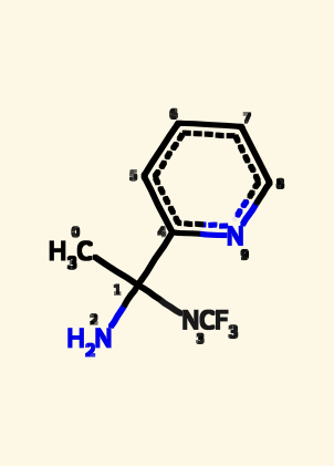 CC(N)(NC(F)(F)F)c1ccccn1